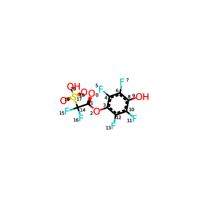 O=C(Oc1c(F)c(F)c(O)c(F)c1F)C(F)(F)S(=O)(=O)O